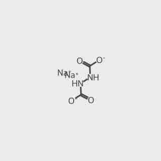 O=C([O-])NNC(=O)[O-].[Na+].[Na+]